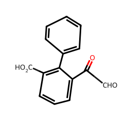 O=CC(=O)c1cccc(C(=O)O)c1-c1ccccc1